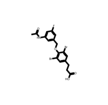 CC(=O)Nc1cc(F)cc(COc2c(Br)cc(CCC(=O)O)cc2Br)c1